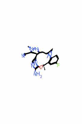 C[C@H]1Oc2nc(cnc2N)-c2c(nn(C)c2C#N)CC2CN2c2ccc(F)cc21